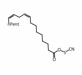 CCCCC/C=C\C/C=C\CCCCCCCC(=O)OSC#N